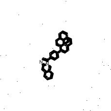 C1=CC23C=CC4=CC=C(c5ccc(-c6cnc7cc8ccccc8cn67)cc5)C5=CCC(=C1)C2C45C3